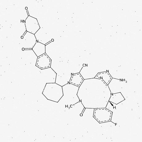 CN1Cc2c(c(C#N)nn2C2CCCCCC2Cc2ccc3c(c2)C(=O)N(C2CCC(=O)NC2=O)C3=O)-c2cnc(N)c(n2)N2CCC[C@@H]2c2cc(F)ccc2C1=O